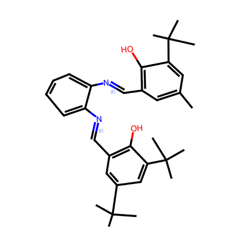 Cc1cc(/C=N/c2ccccc2/N=C/c2cc(C(C)(C)C)cc(C(C)(C)C)c2O)c(O)c(C(C)(C)C)c1